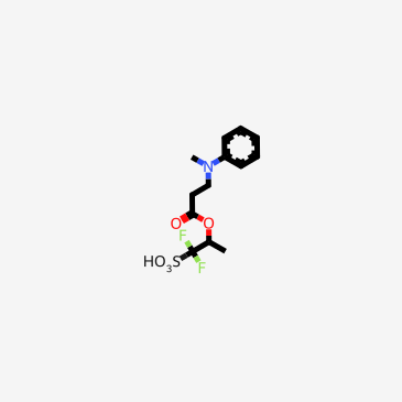 CC(OC(=O)CCN(C)c1ccccc1)C(F)(F)S(=O)(=O)O